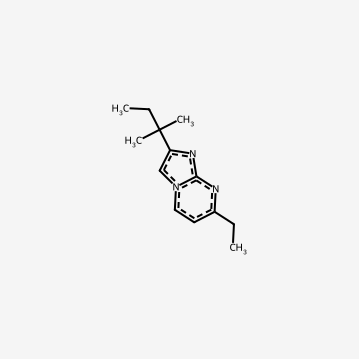 CCc1ccn2cc(C(C)(C)CC)nc2n1